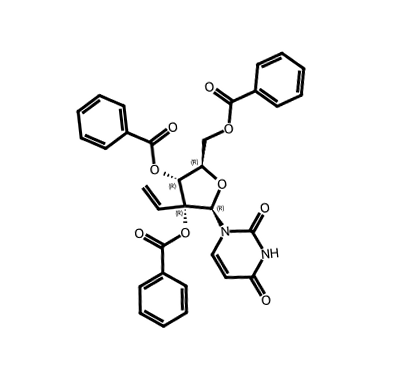 C=C[C@@]1(OC(=O)c2ccccc2)[C@H](OC(=O)c2ccccc2)[C@@H](COC(=O)c2ccccc2)O[C@H]1n1ccc(=O)[nH]c1=O